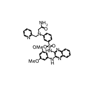 COc1cc(Nc2nc3ccccc3nc2NS(=O)(=O)c2cccc(N(CC(N)=O)Cc3ccccn3)c2)cc(OC)c1